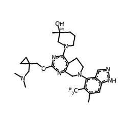 Cc1cc2[nH]ncc2c(N2CCc3c(nc(OCC4(CN(C)C)CC4)nc3N3CCC[C@@](C)(O)C3)C2)c1C(F)(F)F